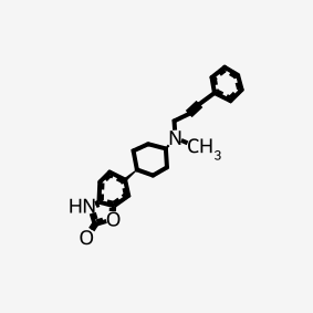 CN(CC#Cc1ccccc1)[C@H]1CC[C@H](c2ccc3[nH]c(=O)oc3c2)CC1